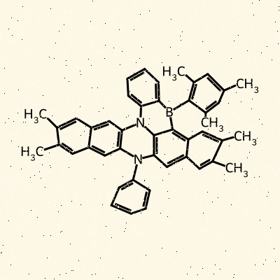 Cc1cc(C)c(B2c3ccccc3N3c4cc5cc(C)c(C)cc5cc4N(c4ccccc4)c4cc5cc(C)c(C)cc5c2c43)c(C)c1